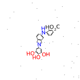 O=C(O)c1ccccc1Nc1ccc2c(c1)CN(c1cc(O)c(O)c(O)c1)C2